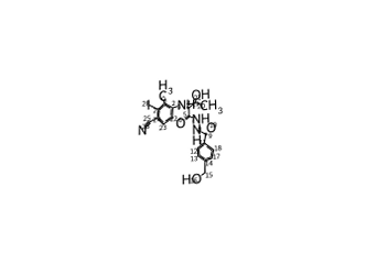 Cc1c(NC(C(=O)NNC(=O)c2ccc(CO)cc2)[C@H](C)O)ccc(C#N)c1I